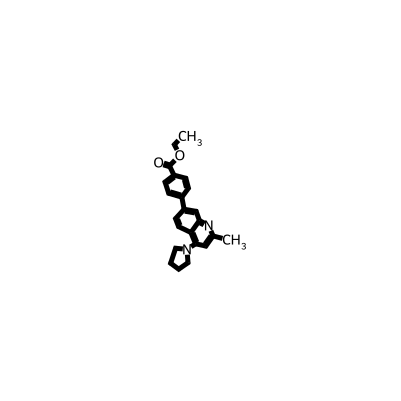 CCOC(=O)c1ccc(-c2ccc3c(N4CCCC4)cc(C)nc3c2)cc1